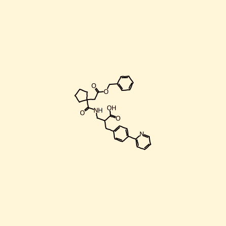 O=C(CC1(C(=O)NCC(Cc2ccc(-c3ccccn3)cc2)C(=O)O)CCCC1)OCc1ccccc1